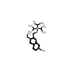 CCc1cc2ccc(C)cc2cc1CO[Si](C(C)C)(C(C)C)C(C)C